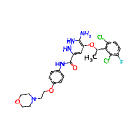 CC(OC1=C(N)NNC(C(=O)Nc2ccc(OCCN3CCOCC3)cc2)=C1)c1c(Cl)ccc(F)c1Cl